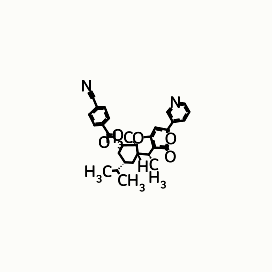 CC(C)[C@@H]1C[C@H](OC(=O)c2ccc(C#N)cc2)[C@@]2(C)Oc3cc(-c4cccnc4)oc(=O)c3[C@H](C)[C@@H]2C1